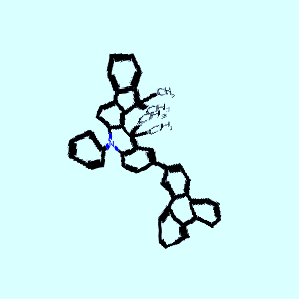 CC1(C)c2ccccc2-c2ccc3c(c21)C(C)(C)c1cc(-c2ccc4c5ccccc5c5ccccc5c4c2)ccc1N3c1ccccc1